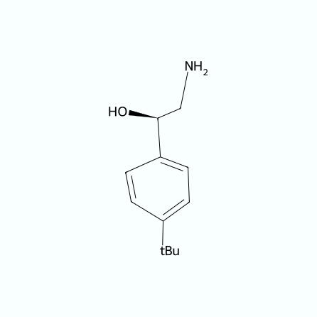 CC(C)(C)c1ccc([C@@H](O)CN)cc1